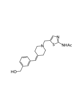 CC(=O)Nc1ncc(CN2CCC(=Cc3cccc(CO)c3)CC2)s1